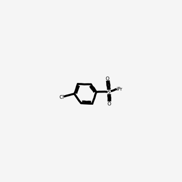 CC(C)S(=O)(=O)c1ccc(Cl)cc1